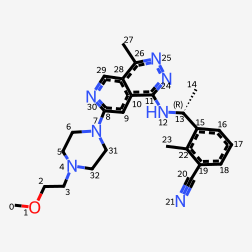 COCCN1CCN(c2cc3c(N[C@H](C)c4cccc(C#N)c4C)nnc(C)c3cn2)CC1